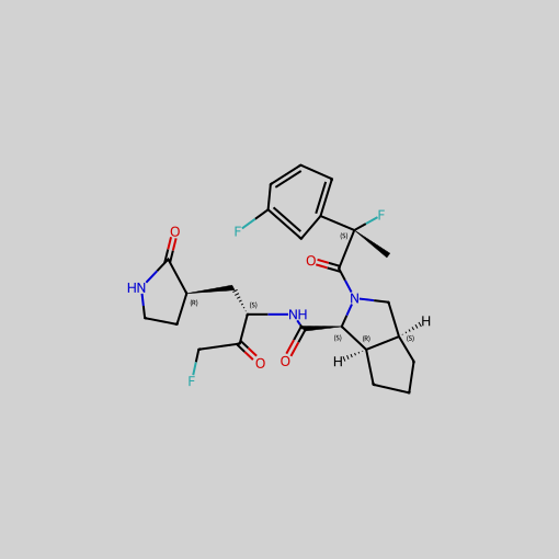 C[C@@](F)(C(=O)N1C[C@H]2CCC[C@H]2[C@H]1C(=O)N[C@@H](C[C@H]1CCNC1=O)C(=O)CF)c1cccc(F)c1